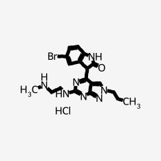 CCCn1cc2c(C3C(=O)Nc4ccc(Br)cc43)nc(NCCNC)nc2n1.Cl